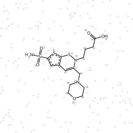 NS(=O)(=O)c1cc2c(s1)SN(CCCC(=O)O)C(CN1CCOCC1)=C2